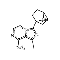 Nc1nccn2c(C34CCC(CC3)N4)nc(I)c12